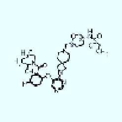 CCN(C(=O)c1cc(F)ccc1Oc1cncnc1N1CC2(CCN(C[C@@H]3CC[C@@H](NS(=O)(=O)CC)CO3)CC2)C1)C(C)C